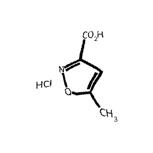 Cc1cc(C(=O)O)no1.Cl